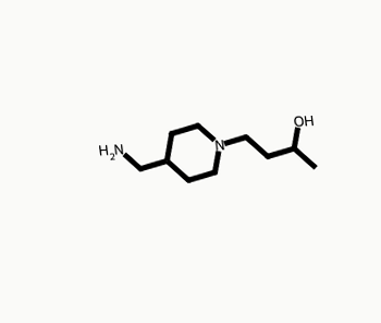 CC(O)CCN1CCC(CN)CC1